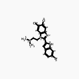 CN(C)CCn1c(-c2cc3ccc(Br)cc3[nH]2)nc2cc(Cl)c(Cl)cc21